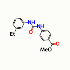 CCc1cccc(NC(=O)Nc2ccc(C(=O)OC)cc2)c1